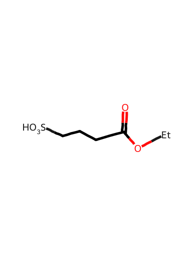 CCOC(=O)CCCS(=O)(=O)O